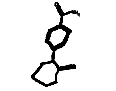 NC(=O)c1ccc(C2CCCCC2=O)cc1